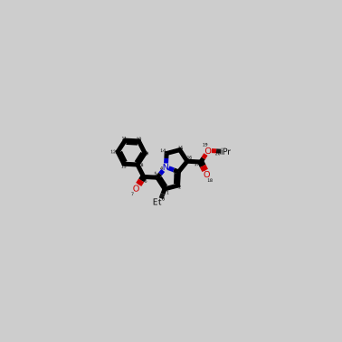 CCc1cc2n(c1C(=O)c1ccccc1)CCC2C(=O)OC(C)C